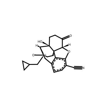 N#Cc1ccc2c3c1O[C@H]1C(=O)CC[C@@]4(O)[C@@H](C2)[N+]([O-])(CC2CC2)CC[C@]314